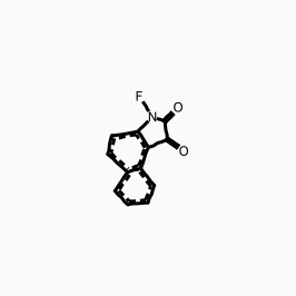 O=C1C(=O)N(F)c2ccc3ccccc3c21